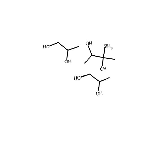 CC(O)C(C)(O)[SiH3].CC(O)CO.CC(O)CO